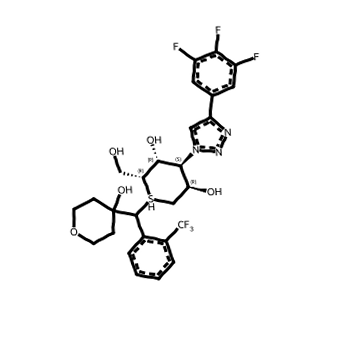 OC[C@@H]1[C@H](O)[C@@H](n2cc(-c3cc(F)c(F)c(F)c3)nn2)[C@@H](O)C[SH]1C(c1ccccc1C(F)(F)F)C1(O)CCOCC1